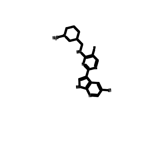 CN1CCCC(CNc2nc(-c3c[nH]c4ncc(Cl)cc34)ncc2F)C1